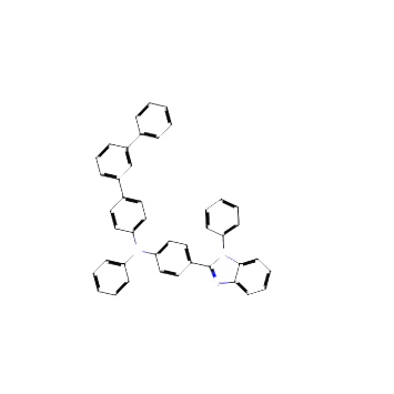 c1ccc(-c2cccc(-c3ccc(N(c4ccccc4)c4ccc(-c5nc6ccccc6n5-c5ccccc5)cc4)cc3)c2)cc1